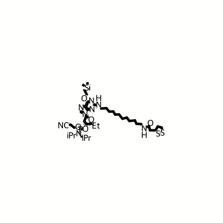 CC[C@H]1O[C@@H](n2cnc3c(OCC[Si](C)(C)C)nc(NCCCCCCCCCCCCNC(=O)CC4CCSS4)nc32)C[C@H]1OP(OCCC#N)N(C(C)C)C(C)C